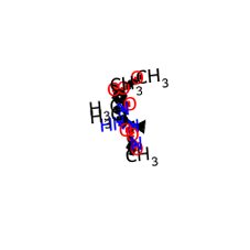 COCCCOc1cc(C(=O)N(C[C@@H]2CNC[C@H]2CN(C(=O)OCc2cc(C)on2)C2CC2)C(C)C)ccc1OC